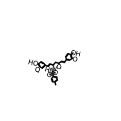 COc1cc(C=CC(=O)CC(C=Cc2ccc(O)c(OC)c2)=NNS(=O)(=O)c2ccc(C)cc2)ccc1O